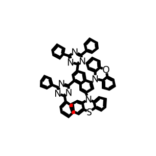 c1ccc(-c2nc(-c3ccccc3)nc(-c3cc(-c4nc(-c5ccccc5)nc(-c5ccccc5)n4)c4cc(N5c6ccccc6Sc6ccccc65)cc(N5c6ccccc6Oc6ccccc65)c4c3)n2)cc1